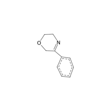 c1ccc(C2=NCCOC2)cc1